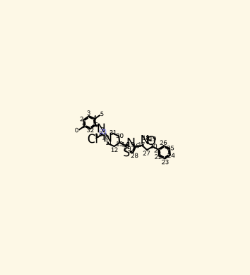 Cc1ccc(C)c(/N=C(\Cl)N2CCC(c3nc(C4=NOC(c5ccccc5)C4)cs3)CC2)c1